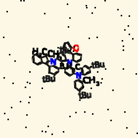 Cc1cc(C(C)(C)C)ccc1N(c1ccc2c(c1)N(c1cccc3oc4ccccc4c13)c1cc(C(C)(C)C)cc3c1B2c1cc(C(C)(C)C)cc2c4c(n-3c12)C(C)(C)c1ccccc1-4)c1ccc(C(C)(C)C)cc1C